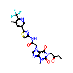 CCC(=O)Cn1c(=O)c2c(ncn2CC(=O)Nc2csc(-c3cnc(C(F)(F)F)c(C)c3)n2)n(C)c1=O